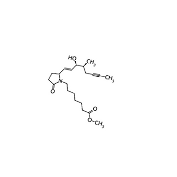 CC#CC[C@H](C)[C@H](O)/C=C/C1CCC(=O)N1CCCCCCC(=O)OC